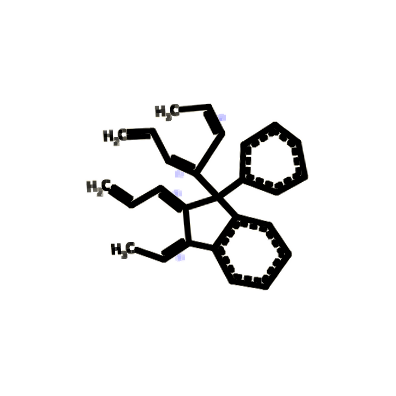 C=C/C=C(\C=C/C)C1(c2ccccc2)C(=C/C=C)/C(=C\C)c2ccccc21